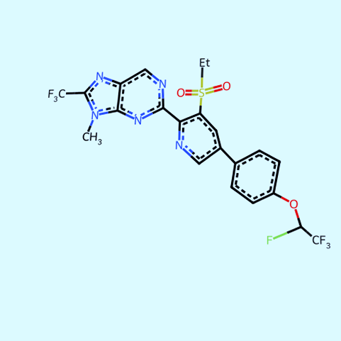 CCS(=O)(=O)c1cc(-c2ccc(OC(F)C(F)(F)F)cc2)cnc1-c1ncc2nc(C(F)(F)F)n(C)c2n1